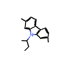 CCC(C)n1c2cc(C)ccc2c2ccc(C)cc21